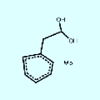 OC(O)Cc1ccccc1.[Mo]